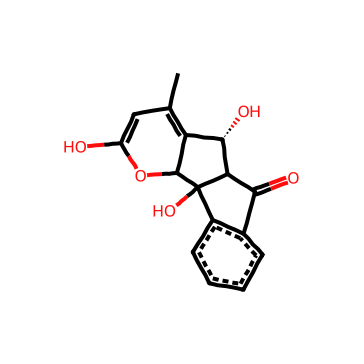 CC1=C2C(OC(O)=C1)C1(O)c3ccccc3C(=O)C1[C@H]2O